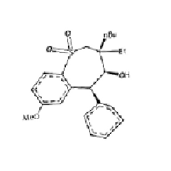 CCCC[C@]1(CC)CS(=O)(=O)c2ccc(OC)cc2[C@H](c2ccccc2)[C@@H]1O